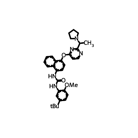 COc1ccc(C(C)(C)C)cc1NC(=O)Nc1ccc(Oc2ccnc(C(C)N3CCCC3)n2)c2ccccc12